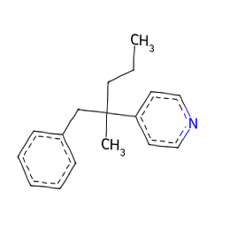 CCCC(C)(Cc1ccccc1)c1ccncc1